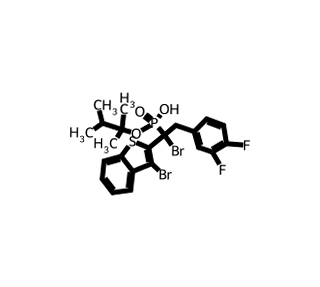 CC(C)C(C)(C)OP(=O)(O)C(Br)(Cc1ccc(F)c(F)c1)c1sc2ccccc2c1Br